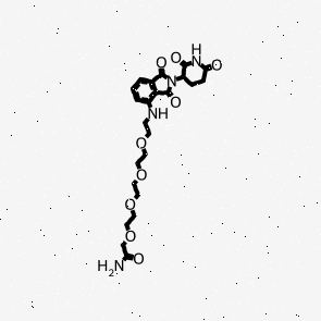 NC(=O)COCCOCCOCCOCCNc1cccc2c1C(=O)N(C1CCC(=O)NC1=O)C2=O